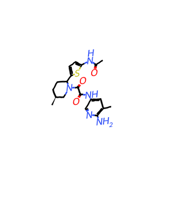 CC(=O)Nc1ccc(C2CC[C@H](C)CN2C(=O)C(=O)Nc2cnc(N)c(C)c2)s1